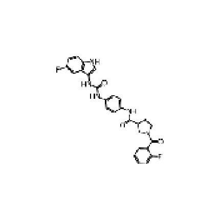 O=C(Nc1ccc(NC(=O)C2CCN(C(=O)c3ccccc3F)C2)cc1)Nc1c[nH]c2ccc(F)cc12